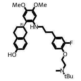 COc1cc(NCCCc2ccc(OCCN(C)C(C)(C)C)c(F)c2)c([C@@H]2CCc3cc(O)ccc3C2)cc1OC